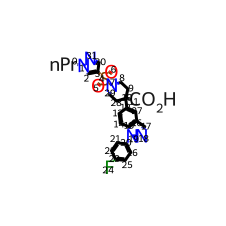 CCCn1cc(S(=O)(=O)N2CCC(C(=O)O)(c3ccc4c(cnn4-c4ccc(F)cc4)c3)CC2)cn1